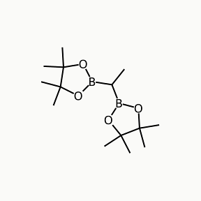 CC(B1OC(C)(C)C(C)(C)O1)B1OC(C)(C)C(C)(C)O1